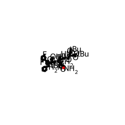 C=C(N[C@@H](CCN(C(=O)CO)[C@@H](c1cc(-c2cc(F)ccc2F)cn1Cc1ccccc1)C(C)(C)C)C(=O)NCCNC(=O)[C@@H](CCC(=O)OC(C)(C)C)NC(=O)OC(C)(C)C)[C@@H](N)CC(N)=O